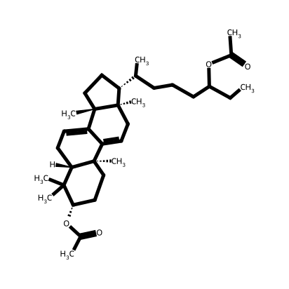 CCC(CCCC(C)[C@H]1CC[C@@]2(C)C3=CC[C@H]4C(C)(C)[C@@H](OC(C)=O)CC[C@]4(C)C3=CC[C@]12C)OC(C)=O